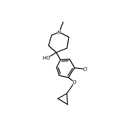 CN1CCC(O)(c2ccc(OC3CC3)c(Cl)c2)CC1